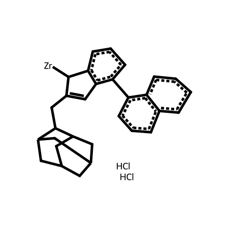 Cl.Cl.[Zr][CH]1C(CC2C3CC4CC(C3)CC2C4)=Cc2c(-c3cccc4ccccc34)cccc21